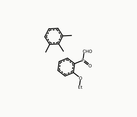 CCOc1ccccc1[P](=O)C=O.Cc1cccc(C)c1C